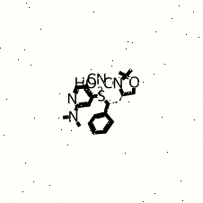 CN(C)c1cc(S[C@H](C[C@H]2COC(C)(C)N2C(=O)O)c2ccccc2)c(C#N)cn1